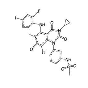 Cn1c(Nc2ccc(I)cc2F)c2c(=O)n(C3CC3)c(=O)n(-c3cccc(NS(C)(=O)=O)c3)c2c(Cl)c1=O